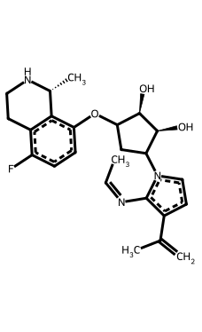 C=C(C)c1ccn(C2CC(Oc3ccc(F)c4c3[C@@H](C)NCC4)[C@@H](O)[C@H]2O)c1/N=C\C